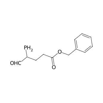 O=CC(P)CCC(=O)OCc1ccccc1